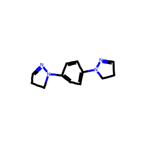 C1=NN(c2ccc(N3CCC=N3)cc2)CC1